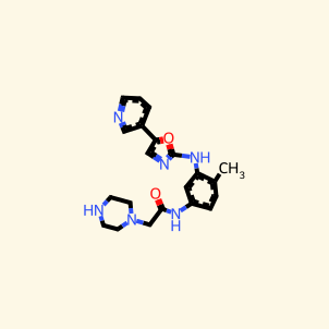 Cc1ccc(NC(=O)CN2CCNCC2)cc1Nc1ncc(-c2cccnc2)o1